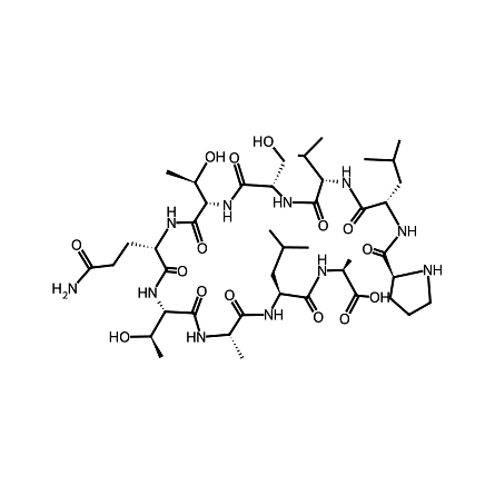 CC(C)C[C@H](NC(=O)[C@H](C)NC(=O)[C@@H](NC(=O)[C@H](CCC(N)=O)NC(=O)[C@@H](NC(=O)[C@H](CO)NC(=O)[C@@H](NC(=O)[C@H](CC(C)C)NC(=O)[C@@H]1CCCN1)C(C)C)[C@@H](C)O)[C@@H](C)O)C(=O)N[C@@H](C)C(=O)O